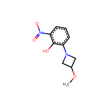 COC1CN(c2cccc([N+](=O)[O-])c2O)C1